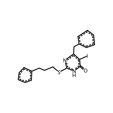 O=c1[nH]c(SCCCc2ccccc2)nc(Cc2ccccc2)c1I